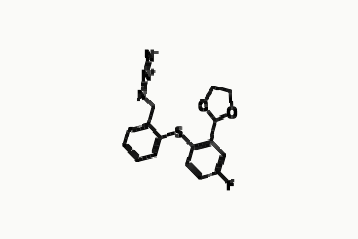 [N-]=[N+]=NCc1ccccc1Sc1ccc(F)cc1C1OCCO1